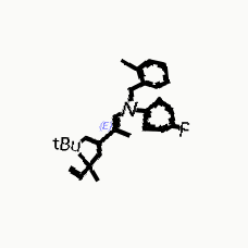 C=CC(C)(C)CC(CC(C)(C)C)/C(C)=C/N(Cc1ccccc1C)c1ccc(F)cc1